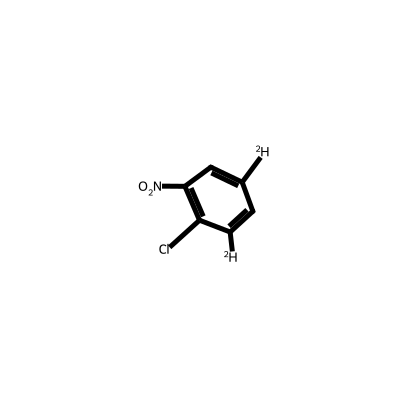 [2H]c1cc([2H])c(Cl)c([N+](=O)[O-])c1